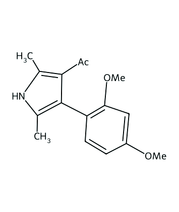 COc1ccc(-c2c(C)[nH]c(C)c2C(C)=O)c(OC)c1